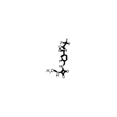 CCNc1c(NCc2ccc(-c3noc(C(F)(F)F)n3)cc2F)c(=O)c1=O